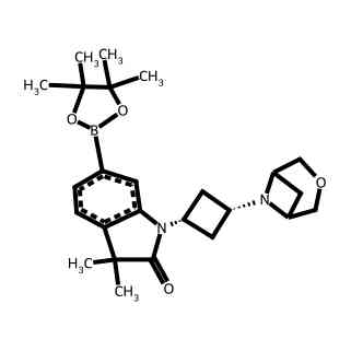 CC1(C)C(=O)N([C@H]2C[C@@H](N3C4COCC3C4)C2)c2cc(B3OC(C)(C)C(C)(C)O3)ccc21